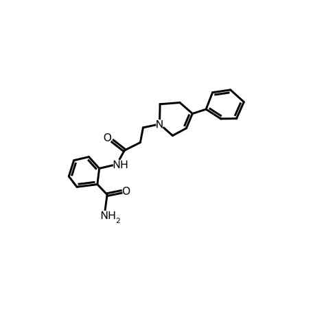 NC(=O)c1ccccc1NC(=O)CCN1CC=C(c2ccccc2)CC1